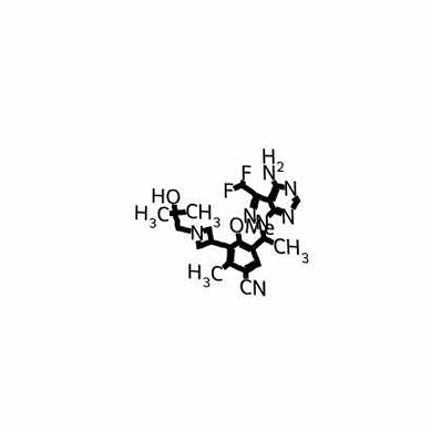 COc1c(C(C)n2nc(C(F)F)c3c(N)ncnc32)cc(C#N)c(C)c1C1CN(CC(C)(C)O)C1